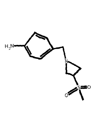 CS(=O)(=O)C1CN(Cc2ccc(N)cc2)C1